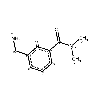 CN(C)C(=O)c1cccc(CN)n1